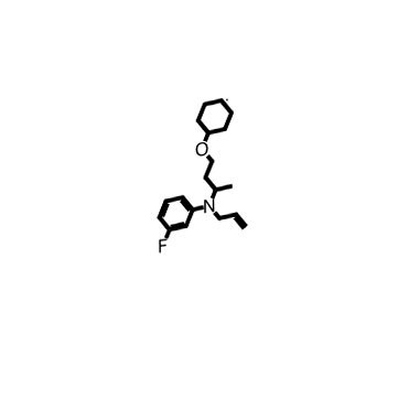 C=CCN(c1cccc(F)c1)C(C)CCOC1CC[CH]CC1